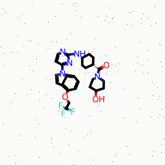 O=C([C@H]1CC[C@H](Nc2nccc(-n3ccc4c(OCC(F)(F)F)cccc43)n2)CC1)N1CCC(O)CC1